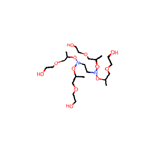 CC(COCCO)ON(CCN(OC(C)COCCO)OC(C)COCCO)OC(C)COCCO